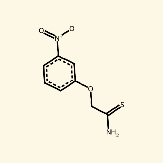 NC(=S)COc1cccc([N+](=O)[O-])c1